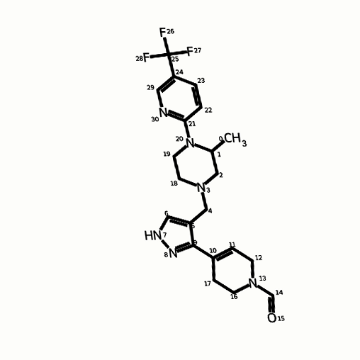 CC1CN(Cc2c[nH]nc2C2=CCN(C=O)CC2)CCN1c1ccc(C(F)(F)F)cn1